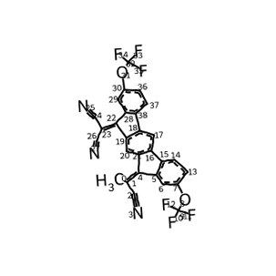 C/C(C#N)=C1/c2cc(OC(F)(F)F)ccc2-c2cc3c(cc21)C(=C(C#N)C#N)c1cc(OC(F)(F)F)ccc1-3